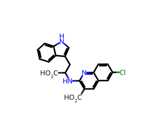 O=C(O)c1cc2cc(Cl)ccc2nc1NC(Cc1c[nH]c2ccccc12)C(=O)O